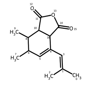 CC(C)=CC1=CC(C)C(C)C2C(=O)OC(=O)C12